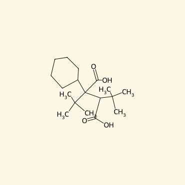 CC(C)(C)C(C(=O)O)C(C(=O)O)(C1CCCCC1)C(C)(C)C